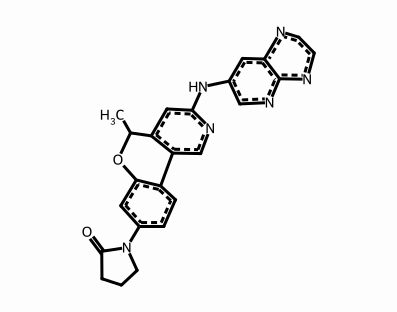 CC1Oc2cc(N3CCCC3=O)ccc2-c2cnc(Nc3cnc4nccnc4c3)cc21